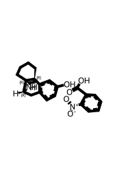 O=C(O)c1ccccc1[N+](=O)[O-].Oc1ccc2c(c1)[C@@]13CCCC[C@H]1[C@@H](C2)NCC3